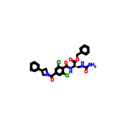 NC(=O)NC[C@H](NC(=O)c1c(Cl)cc(C(=O)N2CC(c3ccccc3)C2)cc1Cl)C(=O)OCc1ccccc1